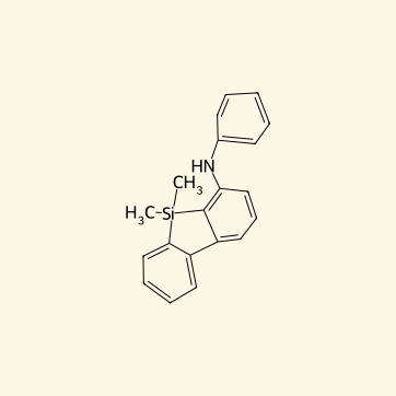 C[Si]1(C)c2ccccc2-c2cccc(Nc3ccccc3)c21